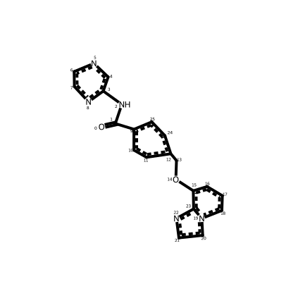 O=C(Nc1cnccn1)c1ccc(COc2cccn3ccnc23)cc1